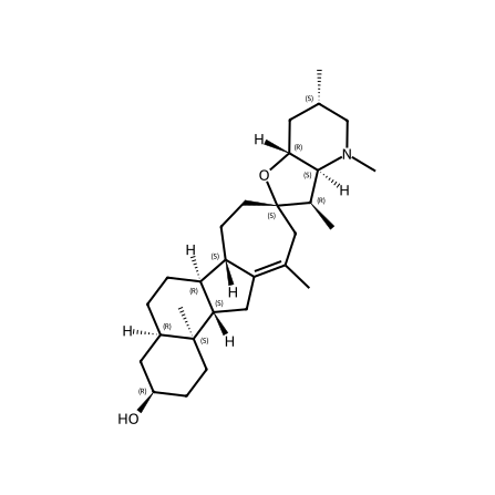 CC1=C2C[C@H]3[C@@H](CC[C@@H]4C[C@H](O)CC[C@@]43C)[C@@H]2CC[C@@]2(C1)O[C@@H]1C[C@H](C)CN(C)[C@H]1[C@H]2C